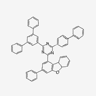 C1=CC2Oc3cc(-c4ccccc4)cc(-c4nc(-c5ccc(-c6ccccc6)cc5)nc(-c5cc(-c6ccccc6)cc(-c6ccccc6)c5)n4)c3C2C=C1